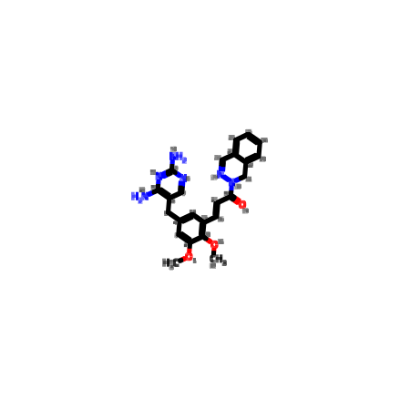 COc1cc(Cc2cnc(N)nc2N)cc(C=CC(=O)N2Cc3ccccc3C=N2)c1OC